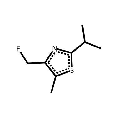 Cc1sc(C(C)C)nc1CF